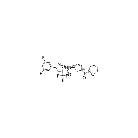 O=C([C@@H]1C=C[C@H](NC(=O)C2(C(F)(F)F)CC(c3cc(F)cc(F)c3)=NO2)C1)N1CCCCO1